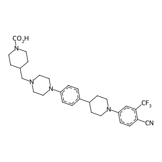 N#Cc1ccc(N2CCC(c3ccc(N4CCN(CC5CCN(C(=O)O)CC5)CC4)cc3)CC2)cc1C(F)(F)F